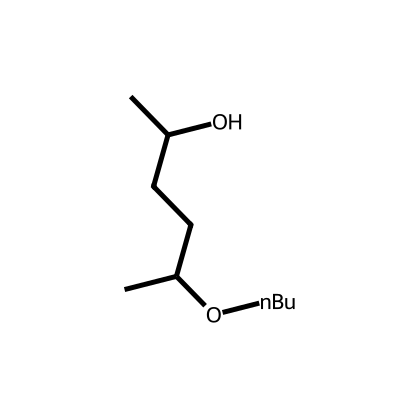 CCCCOC(C)CCC(C)O